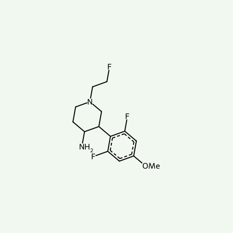 COc1cc(F)c(C2CN(CCF)CCC2N)c(F)c1